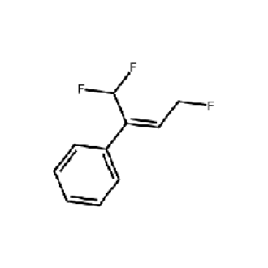 FCC=C(c1ccccc1)C(F)F